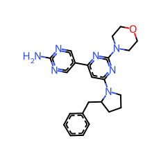 Nc1ncc(-c2cc(N3CCCC3Cc3ccccc3)nc(N3CCOCC3)n2)cn1